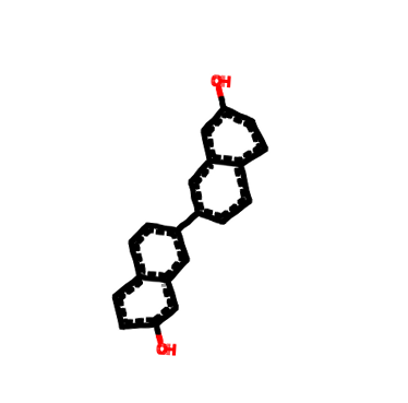 Oc1ccc2ccc(-c3ccc4ccc(O)cc4c3)cc2c1